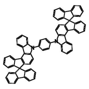 c1ccc2c(c1)-c1ccccc1C21c2ccccc2-c2c1ccc1c2c2ccccc2n1-c1ccc(-n2c3ccccc3c3c4c(ccc32)C2(c3ccccc3-c3ccccc32)c2ccccc2-4)cc1